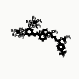 CC(=O)OC(CCC[C@@H](C)[C@H]1CC[C@H]2/C(=C/C=C3C[C@@H](O[Si](C)(C)C(C)(C)C)C[C@H](O[Si](C)(C)C(C)(C)C)C3)CCC[C@]12C)c1ccc(C(F)(F)F)cc1